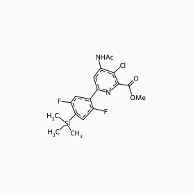 COC(=O)c1nc(-c2cc(F)c([Si](C)(C)C)cc2F)cc(NC(C)=O)c1Cl